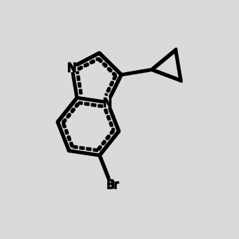 Brc1ccc2ncc(C3CC3)n2c1